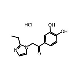 CCc1nccn1CC(=O)c1ccc(O)c(O)c1.Cl